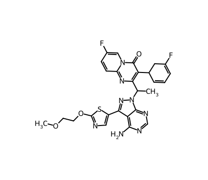 COCCOc1ncc(-c2nn(C(C)c3nc4ccc(F)cn4c(=O)c3C3C=CC=C(F)C3)c3ncnc(N)c23)s1